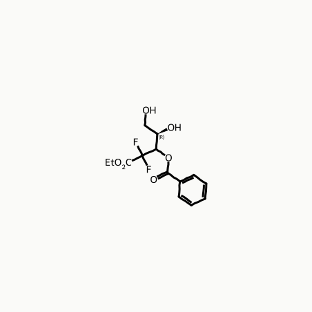 CCOC(=O)C(F)(F)C(OC(=O)c1ccccc1)[C@H](O)CO